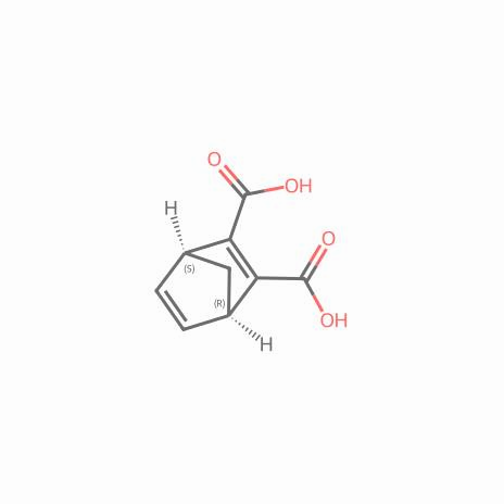 O=C(O)C1=C(C(=O)O)[C@H]2C=C[C@@H]1C2